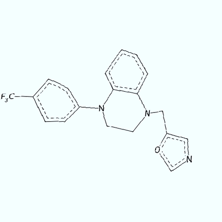 FC(F)(F)c1ccc(N2CCN(Cc3cnco3)c3ccccc32)cc1